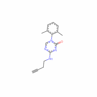 C#CCCNc1ncn(-c2c(C)cccc2C)c(=O)n1